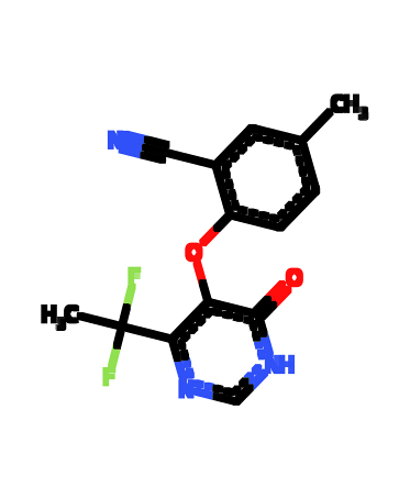 Cc1ccc(Oc2c(C(C)(F)F)nc[nH]c2=O)c(C#N)c1